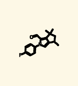 CC1CC(C)(C)c2c1cn(-c1ccc(F)cc1)c2C=O